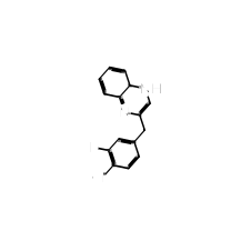 Fc1cc(CC2=CNC3C=CC=CC3=N2)ccc1Cl